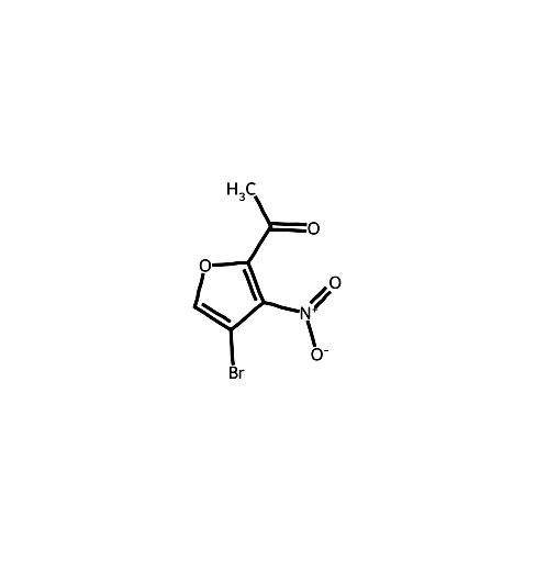 CC(=O)c1occ(Br)c1[N+](=O)[O-]